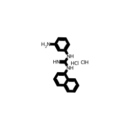 Cl.Cl.N=C(Nc1cccc(N)c1)Nc1cccc2ccccc12